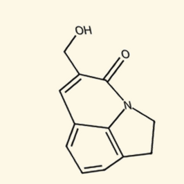 O=c1c(CO)cc2cccc3c2n1CC3